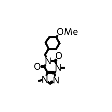 COC1CCC(Cn2c(=O)c3c(ncn3C)n(C)c2=O)CC1